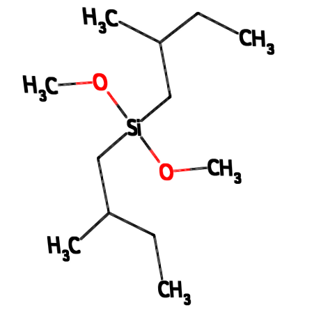 CCC(C)C[Si](CC(C)CC)(OC)OC